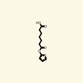 O=C(O)CCCCCC(=O)Oc1cccs1